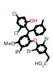 COc1cc(C(c2cccc(C)c2)c2c(O)cc(Cl)cc2Cl)c(Oc2c(Br)cc(CC(=O)O)cc2Br)cc1C(C)C